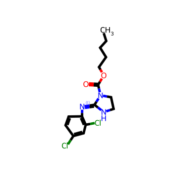 CCCCCOC(=O)N1CCN/C1=N\c1ccc(Cl)cc1Cl